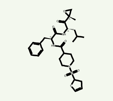 CC(C)C[C@H](NC(=O)[C@H](Cc1ccccc1)NC(=O)C1CCN(S(=O)(=O)C2CC=CS2)CC1)C(=O)[C@@]1(C)CO1